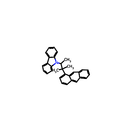 CC(n1c2ccccc2c2ccccc21)C(C)(C)c1cccc2cc3ccccc3cc12